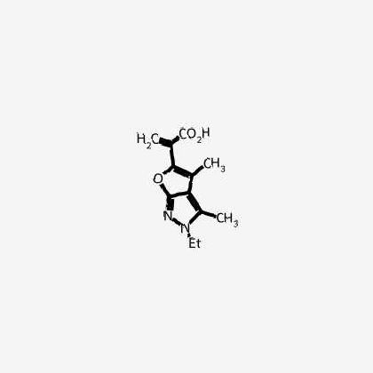 C=C(C(=O)O)c1oc2nn(CC)c(C)c2c1C